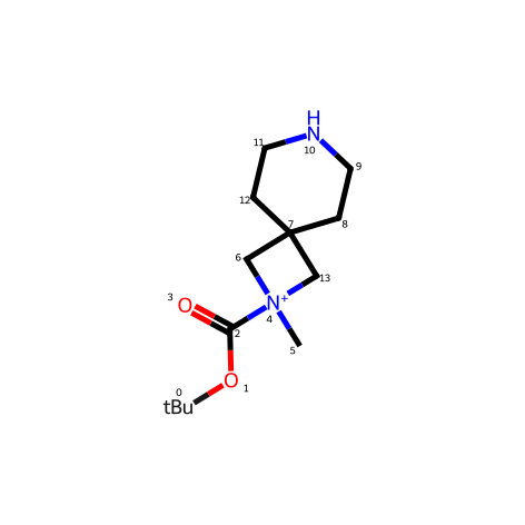 CC(C)(C)OC(=O)[N+]1(C)CC2(CCNCC2)C1